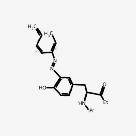 C=C/C=C\C(=C/C)N=Nc1cc(CC(NC(C)C)C(=O)CC)ccc1O